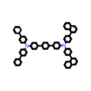 C1=CCC(c2ccc(N(c3ccc(-c4ccccc4)cc3)c3ccc(-c4ccc(-c5ccc(N(c6ccc(-c7cccc8ccccc78)cc6)c6ccc(-c7cccc8ccccc78)cc6)cc5)cc4)cc3)cc2)C=C1